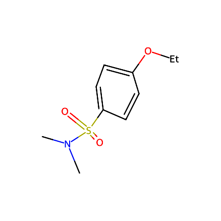 [CH2]COc1ccc(S(=O)(=O)N(C)C)cc1